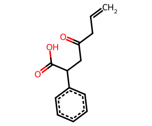 C=CCC(=O)CC(C(=O)O)c1ccccc1